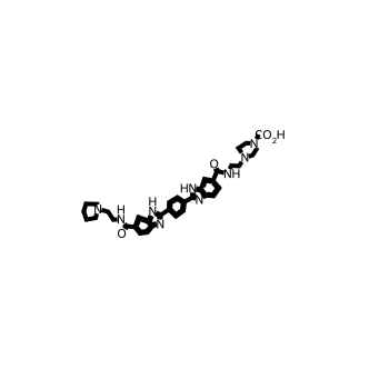 O=C(NCCN1CCCCC1)c1ccc2nc(-c3ccc(-c4nc5ccc(C(=O)NCCN6CCN(C(=O)O)CC6)cc5[nH]4)cc3)[nH]c2c1